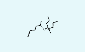 CCCCC(C)O[Si](C)(CCC)CCC